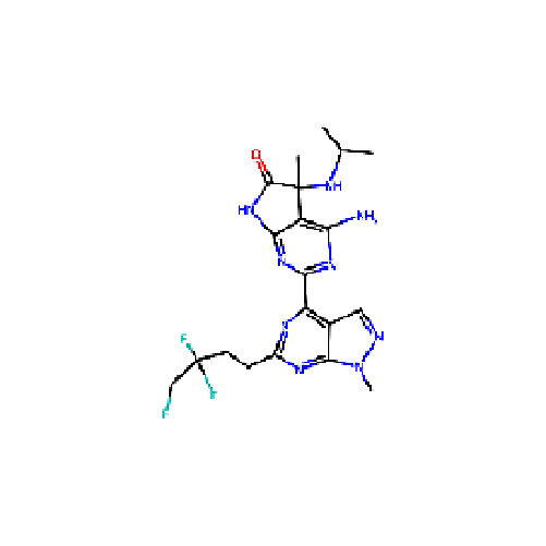 CC(C)NC1(C)C(=O)Nc2nc(-c3nc(CCC(F)(F)CF)nc4c3cnn4C)nc(N)c21